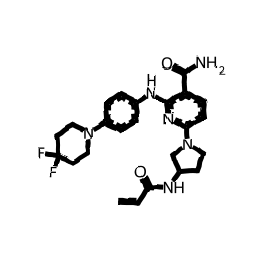 C=CC(=O)NC1CCN(c2ccc(C(N)=O)c(Nc3ccc(N4CCC(F)(F)CC4)cc3)n2)C1